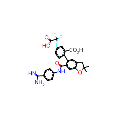 CC1(C)Cc2cc(-c3ccccc3C(=O)O)c(C(=O)Nc3ccc(C(=N)N)cc3)cc2O1.O=C(O)C(F)(F)F